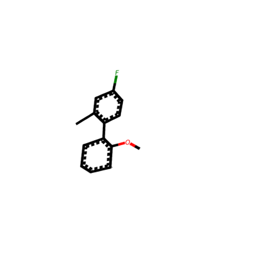 COc1[c]cccc1-c1ccc(F)cc1C